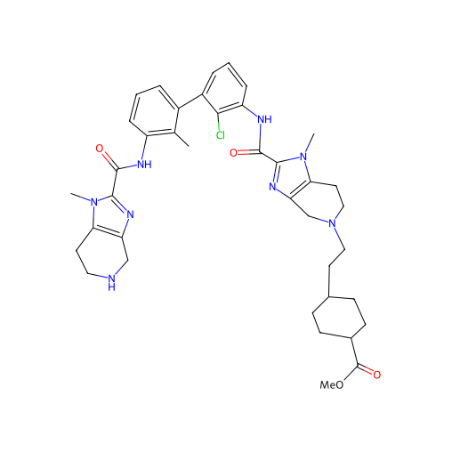 COC(=O)C1CCC(CCN2CCc3c(nc(C(=O)Nc4cccc(-c5cccc(NC(=O)c6nc7c(n6C)CCNC7)c5C)c4Cl)n3C)C2)CC1